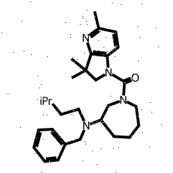 Cc1ccc2c(n1)C(C)(C)CN2C(=O)N1CCCCC(N(CCC(C)C)Cc2ccccc2)C1